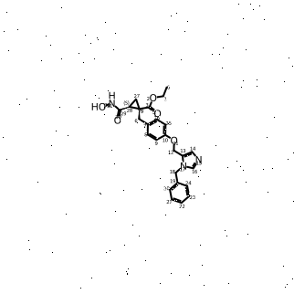 CCOC(=O)[C@@]1(Cc2ccc(OCc3cncn3Cc3ccccc3)cc2)C[C@@H]1C(=O)NO